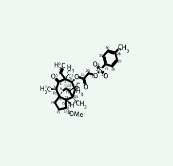 C=C[C@]1(C)C(=O)[C@H](C)[C@@]23CC[C@@H](C)[C@@](C)(C[C@@H]1OC(=O)COS(=O)(=O)c1ccc(C)cc1)[C@@H]2[C@H](OC)CC3